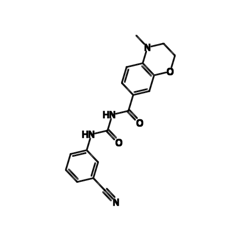 CN1CCOc2cc(C(=O)NC(=O)Nc3cccc(C#N)c3)ccc21